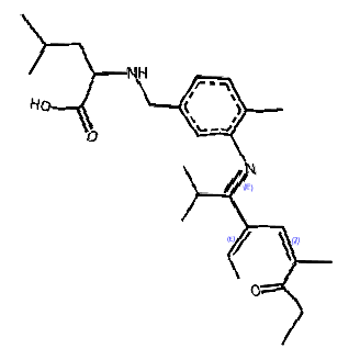 C/C=C(\C=C(\C)C(=O)CC)C(=N/c1cc(CNC(CC(C)C)C(=O)O)ccc1C)/C(C)C